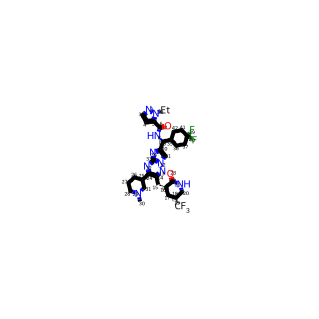 CCn1nccc1C(=O)N[C@H](c1cn2nc(C[C@H]3C[C@@H](C(F)(F)F)CNC3=O)c(C3CCCN(C)C3)nc2n1)C1CCC(F)(F)CC1